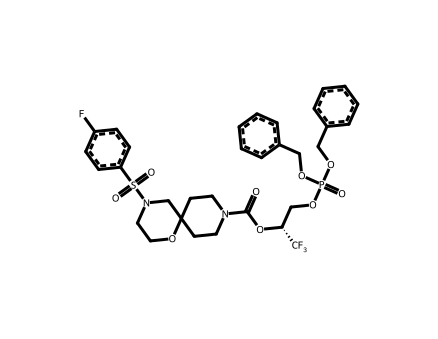 O=C(O[C@H](COP(=O)(OCc1ccccc1)OCc1ccccc1)C(F)(F)F)N1CCC2(CC1)CN(S(=O)(=O)c1ccc(F)cc1)CCO2